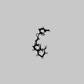 Cc1ccc(OCCc2ccc3c(n2)N(C)CCC3)s1